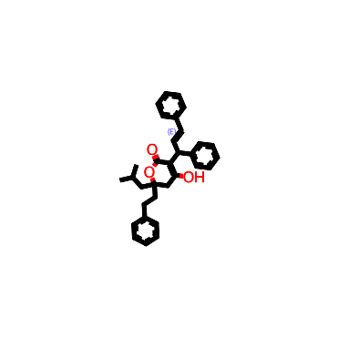 CC(C)CC1(CCc2ccccc2)CC(O)=C(C(/C=C/c2ccccc2)c2ccccc2)C(=O)O1